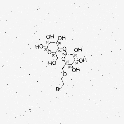 OC[C@H]1O[C@H](O)[C@H](O)[C@@H](O)[C@@H]1O[C@@H]1O[C@H](COCCBr)[C@H](O)[C@H](O)[C@H]1O